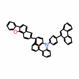 c1ccc(-c2ccccc2N(c2ccc(-c3ccc4c(ccc5c6ccccc6oc45)c3)cc2)c2ccc(-c3cc4ccccc4c4ccccc34)cc2)cc1